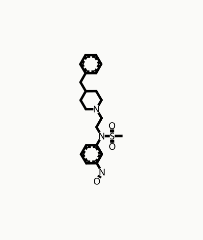 CS(=O)(=O)N(CCN1CCC(Cc2ccccc2)CC1)c1cccc(N=O)c1